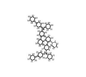 C1=CCCC(c2cc(N(c3ccccc3)c3ccc(-c4ccccc4)cc3)ccc2-c2ccccc2-c2ccccc2-c2ccc(N(c3ccccc3)c3ccc(-c4ccccc4)cc3)cc2)=C1